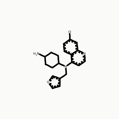 NC1CCC(N(Cc2ccoc2)c2ccnc3cc(Cl)ccc23)CC1